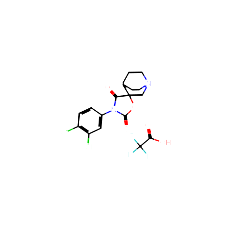 O=C(O)C(F)(F)F.O=C1OC2(CN3CCC2CC3)C(=O)N1c1ccc(Cl)c(Cl)c1